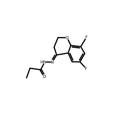 CCC(=O)N/N=C1\CCOc2c(F)cc(F)cc21